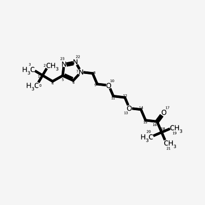 CC(C)(C)Cc1cn(CCOCCOCCC(=O)C(C)(C)C)nn1